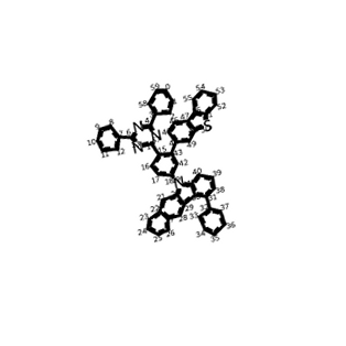 c1ccc(-c2nc(-c3ccccc3)nc(-c3ccc(-n4c5cc6ccccc6cc5c5c(-c6ccccc6)cccc54)cc3-c3ccc4c(c3)sc3ccccc34)n2)cc1